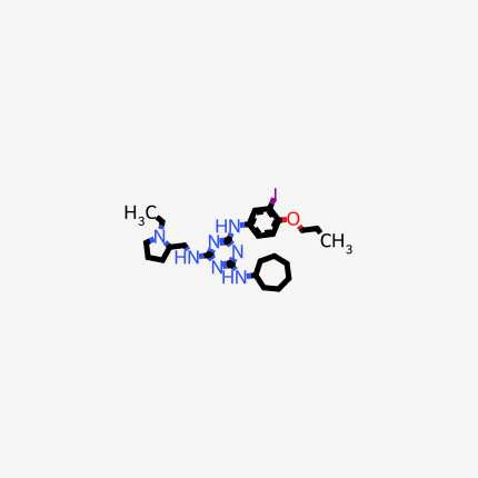 CCCOc1ccc(Nc2nc(NCC3CCCN3CC)nc(NC3CCCCCC3)n2)cc1I